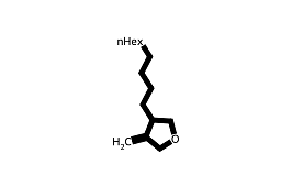 C=C1COCC1CCCCCCCCCC